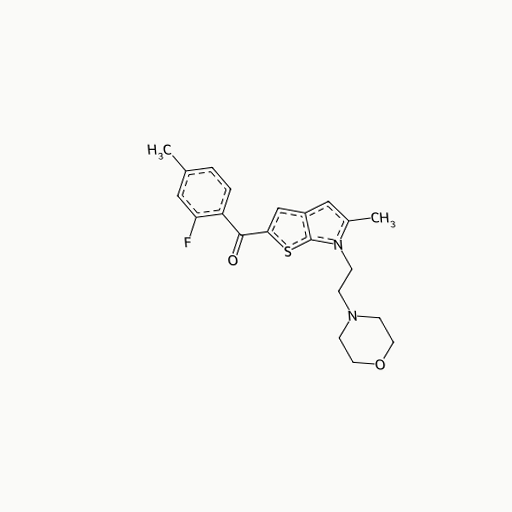 Cc1ccc(C(=O)c2cc3cc(C)n(CCN4CCOCC4)c3s2)c(F)c1